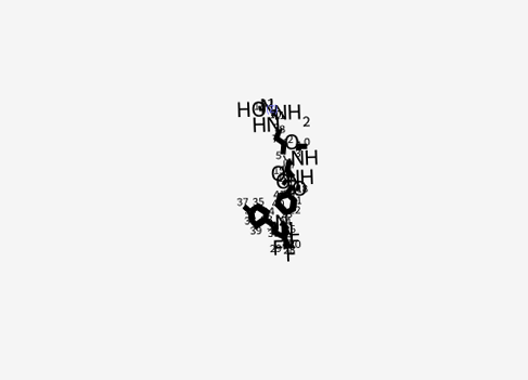 CC(=O)N[C@@H](CCCCN/C(N)=N\O)C(=O)NS(=O)(=O)c1ccc(-n2nc(C(F)(F)F)cc2-c2ccc(C)cc2)cc1